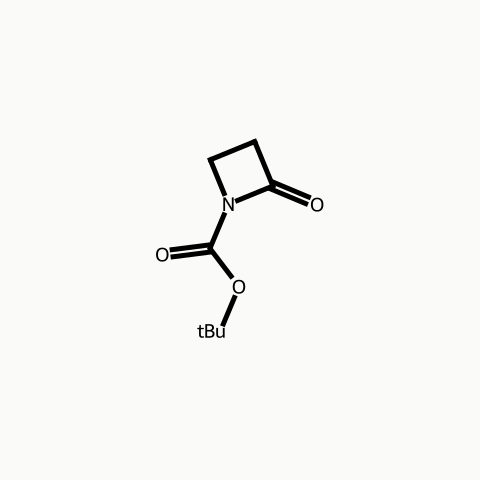 CC(C)(C)OC(=O)N1CCC1=O